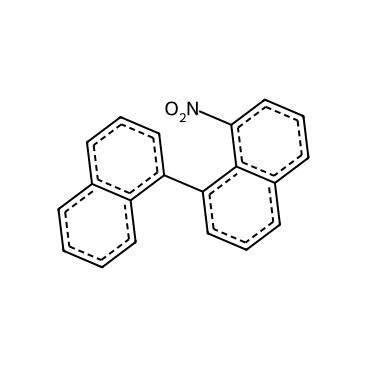 O=[N+]([O-])c1cccc2cccc(-c3cccc4ccccc34)c12